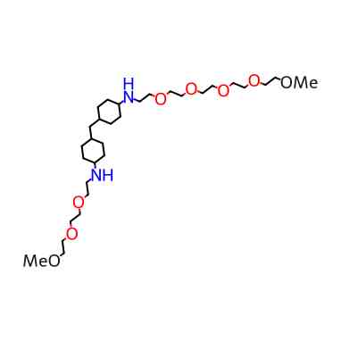 COCCOCCOCCNC1CCC(CC2CCC(NCCOCCOCCOCCOCCOC)CC2)CC1